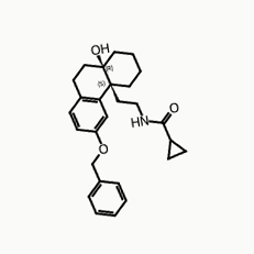 O=C(NCC[C@]12CCCC[C@@]1(O)CCc1ccc(OCc3ccccc3)cc12)C1CC1